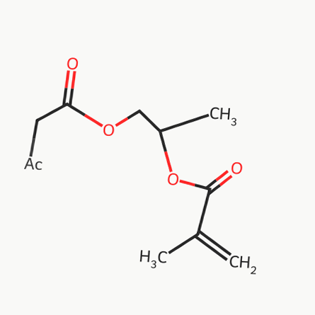 C=C(C)C(=O)OC(C)COC(=O)CC(C)=O